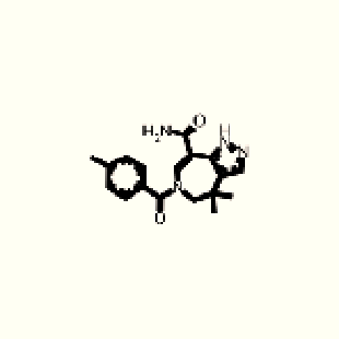 Cc1ccc(C(=O)N2C=C(C(N)=O)c3[nH]ncc3C(C)(C)C2)cc1